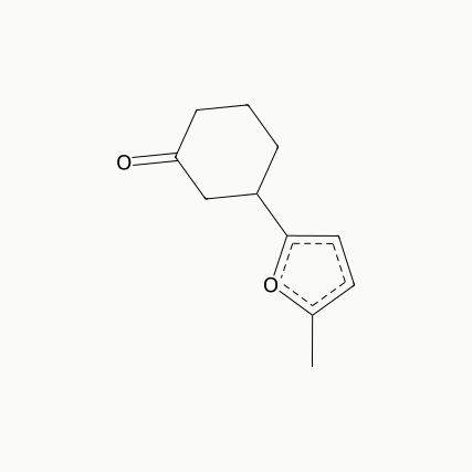 Cc1ccc(C2CCCC(=O)C2)o1